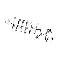 C=C(C(=O)O)C(O)CC(F)(F)C(F)(F)C(F)(F)C(F)(F)C(F)(F)C(F)(F)C(F)(F)F